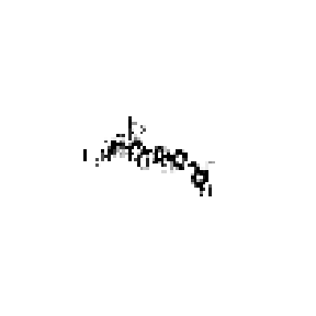 CC[C@H]1CN(c2nc(N)c(C(=O)N=C(N)N)nc2Cl)CCN1C1CCN(Cc2ccc(Cl)cc2F)CC1